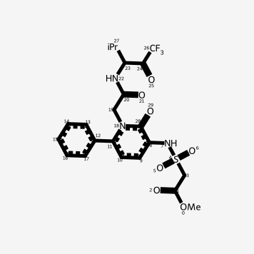 COC(=O)CS(=O)(=O)Nc1ccc(-c2ccccc2)n(CC(=O)NC(C(=O)C(F)(F)F)C(C)C)c1=O